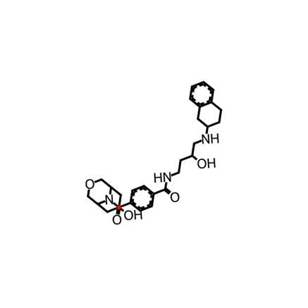 O=C(NCCC(O)CNC1CCc2ccccc2C1)c1ccc(C(=O)N2C3COCC2CC(O)C3)cc1